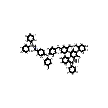 Cc1ccc(N(c2ccc(/C=N/N(c3ccccc3)c3ccccc3)cc2)c2ccc(Cc3cccc(CN(Cc4ccccc4)c4ccc(NN(c5ccccc5)c5ccccc5)c(C)c4)c3)cc2)cc1